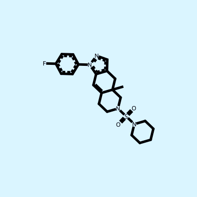 CC12Cc3cnn(-c4ccc(F)cc4)c3C=C1CCN(S(=O)(=O)N1CCCCC1)C2